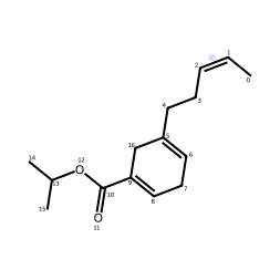 C/C=C\CCC1=CCC=C(C(=O)OC(C)C)C1